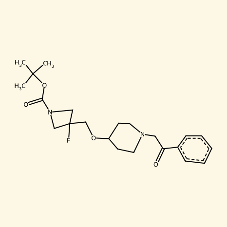 CC(C)(C)OC(=O)N1CC(F)(COC2CCN(CC(=O)c3ccccc3)CC2)C1